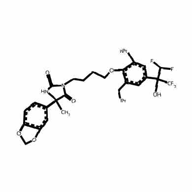 CCCc1cc(C(O)(C(F)F)C(F)(F)F)cc(CC(C)C)c1OCCCCN1C(=O)NC(C)(c2ccc3c(c2)OCO3)C1=O